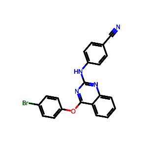 N#Cc1ccc(Nc2nc(Oc3ccc(Br)cc3)c3ccccc3n2)cc1